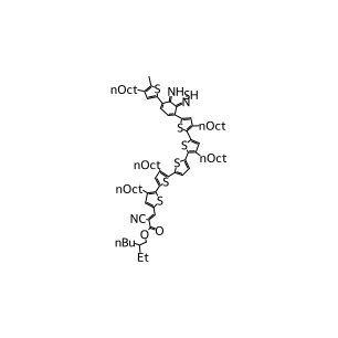 CCCCCCCCc1cc(C2=CC=C(c3cc(CCCCCCCC)c(-c4cc(CCCCCCCC)c(-c5ccc(-c6sc(-c7sc(/C=C(\C#N)C(=O)OCC(CC)CCCC)cc7CCCCCCCC)cc6CCCCCCCC)s5)s4)s3)/C(=N/S)C2=N)sc1C